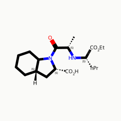 CCC[C@H](N[C@@H](C)C(=O)N1C2CCCC[C@H]2C[C@H]1C(=O)O)C(=O)OCC